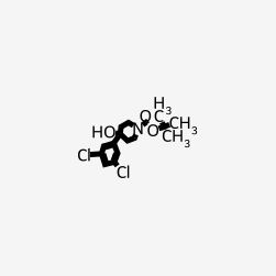 CC(C)(C)OC(=O)N1CCC(O)(c2cc(Cl)cc(Cl)c2)CC1